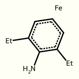 CCc1cccc(CC)c1N.[Fe]